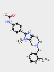 CCC(=O)Nc1ccc(-c2nc3c(n2C)CN(Cc2ccccc2OC)CC3)cc1